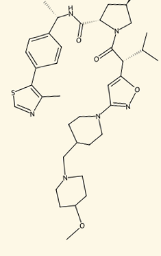 COC1CCN(CC2CCN(c3cc([C@H](C(=O)N4C[C@H](O)C[C@H]4C(=O)N[C@@H](C)c4ccc(-c5scnc5C)cc4)C(C)C)on3)CC2)CC1